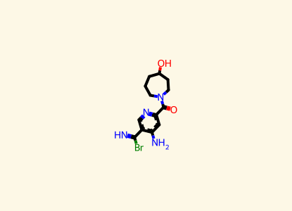 N=C(Br)c1cnc(C(=O)N2CCCC(O)CC2)cc1N